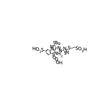 CC(C)(C)c1nn(-c2cc(S(=O)(=O)O)ccc2SOOO)c(N)c1N=Nc1nc(SCCS(=O)(=O)O)ns1